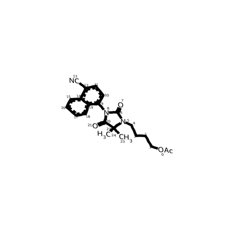 CC(=O)OCCCCN1C(=O)N(c2ccc(C#N)c3ccccc23)C(=O)C1(C)C